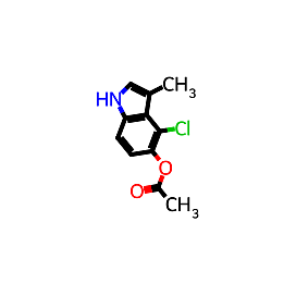 CC(=O)Oc1ccc2[nH]cc(C)c2c1Cl